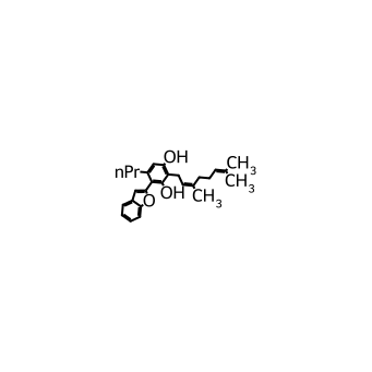 CCCc1cc(O)c(CC=C(C)CCC=C(C)C)c(O)c1-c1cc2ccccc2o1